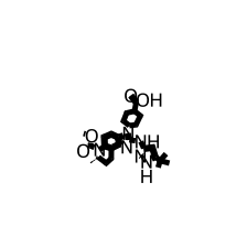 COC(=O)N1c2ccc3c(nc(Nc4cc(C(C)(C)C)[nH]n4)n3C3CCC(C(=O)O)CC3)c2CC[C@@H]1C